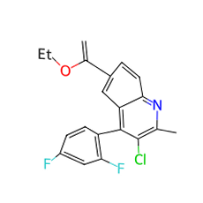 C=C(OCC)c1ccc2nc(C)c(Cl)c(-c3ccc(F)cc3F)c2c1